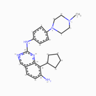 CN1CCN(c2ccc(Nc3ncc4ccc(N)c(C5CCCC5)c4n3)cc2)CC1